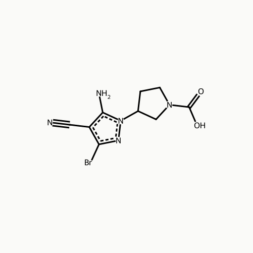 N#Cc1c(Br)nn(C2CCN(C(=O)O)C2)c1N